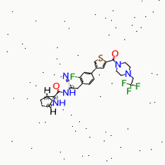 N#C[C@H](Cc1ccc(-c2csc(C(=O)N3CCN(CC(F)(F)F)CC3)c2)cc1F)NC(=O)[C@H]1N[C@@H]2CC[C@H]1C2